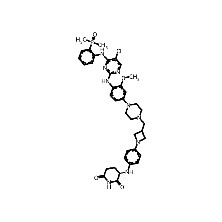 COc1cc(N2CCN(CC3CN(c4ccc(NC5CCC(=O)NC5=O)cc4)C3)CC2)ccc1Nc1ncc(Cl)c(Nc2ccccc2P(C)(C)=O)n1